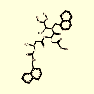 CCOC(OCC)[C@H](C)N(Cc1cccc2ccccc12)C(=O)[C@H](CC(=O)OC(C)(C)C)NC(=O)CN(C)NC(=O)NCc1cccc2ccccc12